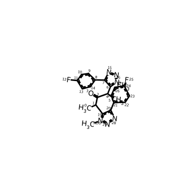 CC(C(=O)C(C)c1c(-c2ccc(F)cc2)nnn1C)c1c(-c2ccc(F)cc2)nnn1C